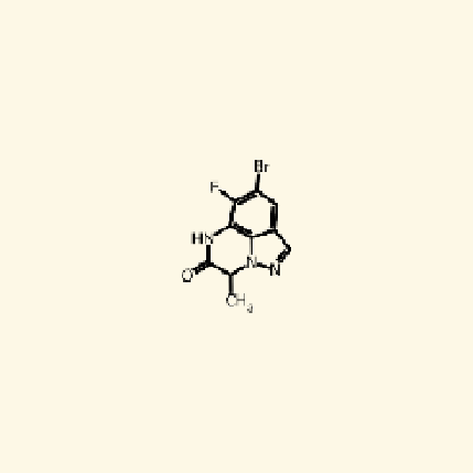 CC1C(=O)Nc2c(F)c(Br)cc3cnn1c23